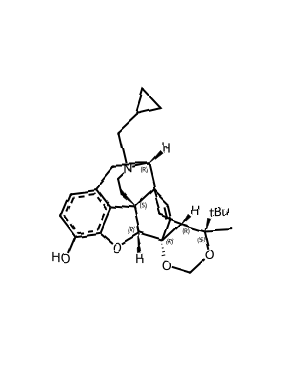 CC(C)(C)[C@@]1(C)OCO[C@]23C=CC4(C[C@@H]21)[C@H]1Cc2ccc(O)c5c2[C@@]4(CCN1CC1CC1)[C@H]3O5